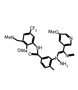 C=N/C(=C\N(N)c1cc(C(=O)Nc2cc(C(F)(F)F)cc(CNC)c2OC)ccc1C)c1cncc(OC)c1